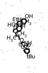 CC[C@H]1[C@@H](O)[C@@H]2[C@H](CC[C@]3(C)[C@@H]([C@H](C)CCOC(=O)NS(=O)(=O)c4ccc(C(C)(C)C)cc4)CC[C@@H]23)[C@@]2(C)CC[C@@H](O)C[C@@H]12